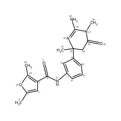 Cc1cc(C(=O)Nc2cccc(C3(C)CC(=O)N(C)C(N)=N3)c2)c(C)o1